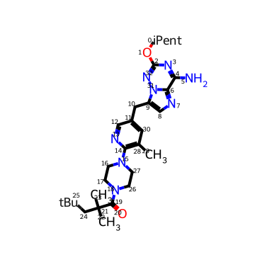 CCCC(C)Oc1nc(N)c2ncc(Cc3cnc(N4CCN(C(=O)C(C)(C)CC(C)(C)C)CC4)c(C)c3)n2n1